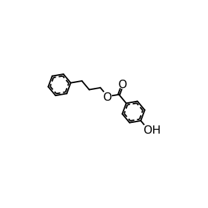 O=C(OCCCc1ccccc1)c1ccc(O)cc1